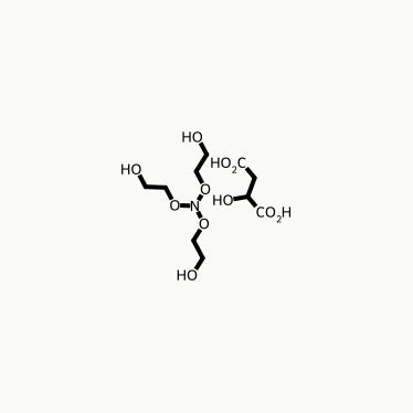 O=C(O)CC(O)C(=O)O.OCCON(OCCO)OCCO